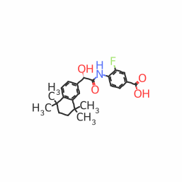 CC1(C)CCC(C)(C)c2cc([C@H](O)C(=O)Nc3ccc(C(=O)O)cc3F)ccc21